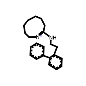 c1ccc(-c2ccccc2CCN/C2=N/CCCCCCC2)cc1